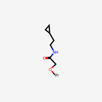 CC(C)OCC(=O)NCCC1CC1